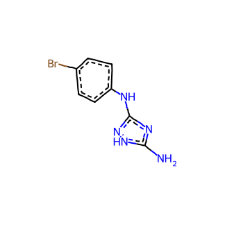 Nc1nc(Nc2ccc(Br)cc2)n[nH]1